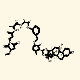 Cc1ccc(OCc2cccc(NC(=O)[C@H](C)NC(=O)[C@H](C)NC(=O)CCN3C(=O)CC(SI)C3=O)c2)c(F)c1[C@@H]1O[C@@H]2C[C@H]3[C@@H]4CCC5=CC(=O)C=C[C@]5(C)[C@H]4[C@@H](O)C[C@]3(C)[C@]2(C(=O)CO)O1